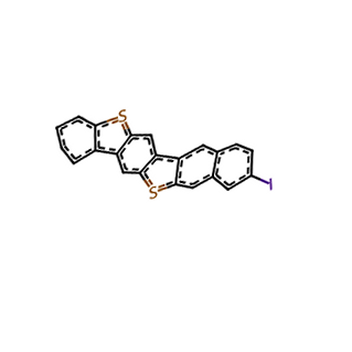 Ic1ccc2cc3c(cc2c1)sc1cc2c(cc13)sc1ccccc12